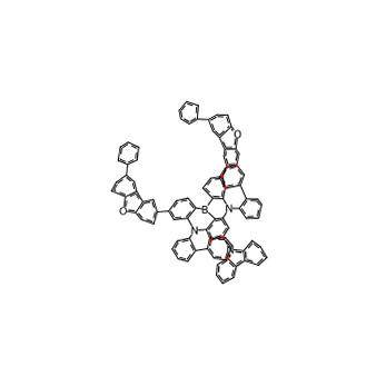 c1ccc(-c2ccc3oc4ccc(-c5ccc6c(c5)N(c5ccccc5-c5ccccc5)c5cc(-n7c8ccccc8c8ccccc87)cc7c5B6c5ccc(-c6ccc8oc9ccc(-c%10ccccc%10)cc9c8c6)cc5N7c5ccccc5-c5ccccc5)cc4c3c2)cc1